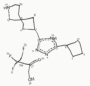 C1CC(c2nnc(C3CC4(CNC4)C3)[nH]2)C1.O=C(O)C(F)(F)F